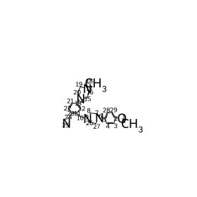 COc1ccc(N2CCN(Cc3cc(N4CCN(C)CC4)ccc3C#N)CC2)cc1